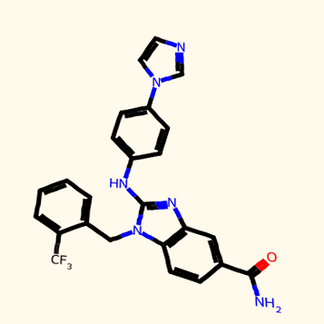 NC(=O)c1ccc2c(c1)nc(Nc1ccc(-n3ccnc3)cc1)n2Cc1ccccc1C(F)(F)F